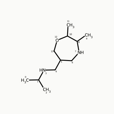 CC(C)NCC1CNC(C)C(C)OC1